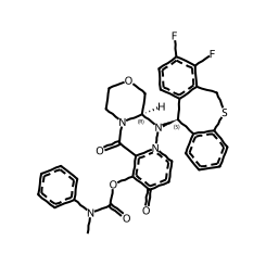 CN(C(=O)Oc1c2n(ccc1=O)N([C@@H]1c3ccccc3SCc3c1ccc(F)c3F)[C@@H]1COCCN1C2=O)c1ccccc1